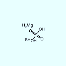 O=S(=O)(O)O.[KH].[MgH2]